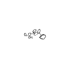 O=Cc1ccc(C(=O)N2CCc3c(-c4ccccc4)cccc32)cc1O